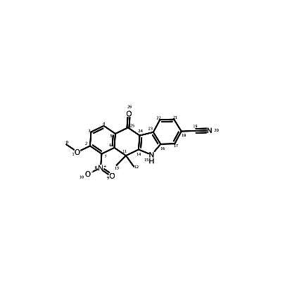 COc1ccc2c(c1[N+](=O)[O-])C(C)(C)c1[nH]c3cc(C#N)ccc3c1C2=O